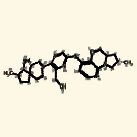 C[C@H]1CC2COc3c(Sc4cnc(N5CCC6(CC[C@@H](C)[C@H]6N)CC5)c(CO)n4)ccnc3N2C1